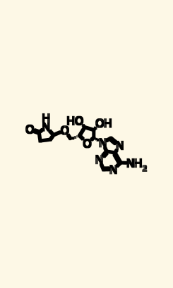 Nc1ncnc2c1ncn2[C@@H]1O[C@H](COC2CCC(=O)N2)[C@@H](O)[C@H]1O